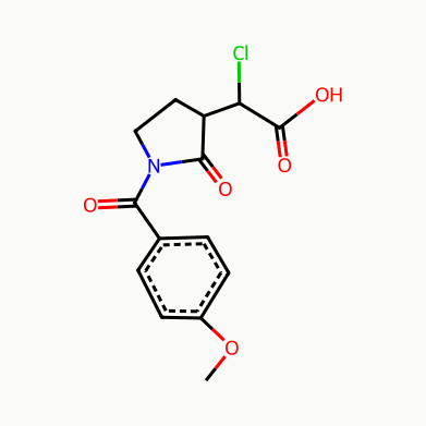 COc1ccc(C(=O)N2CCC(C(Cl)C(=O)O)C2=O)cc1